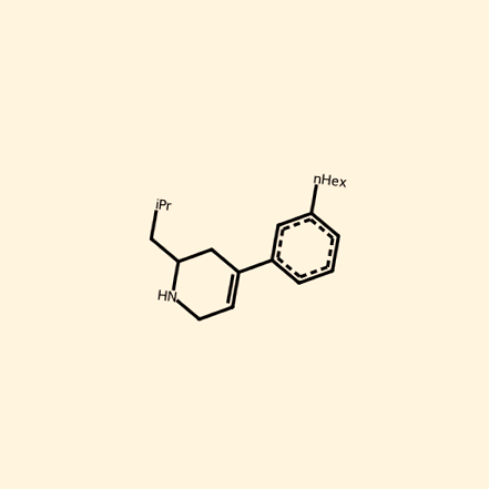 [CH2]C(C)CC1CC(c2cccc(CCCCCC)c2)=CCN1